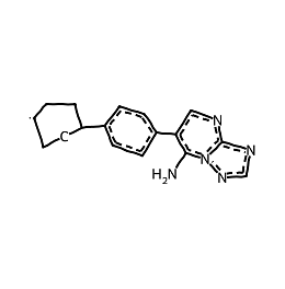 Nc1c(-c2ccc(C3CC[CH]CC3)cc2)cnc2ncnn12